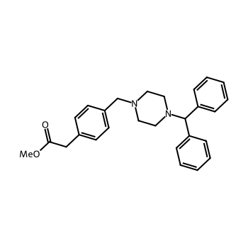 COC(=O)Cc1ccc(CN2CCN(C(c3ccccc3)c3ccccc3)CC2)cc1